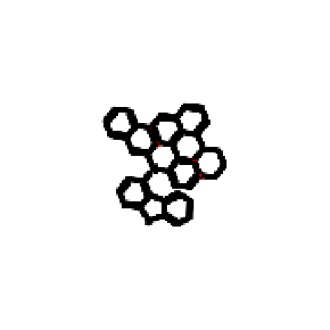 c1ccc(N(c2ccc3ccccc3c2)c2cccc3sc4ccccc4c23)c(-c2cccc3cccc(C4CCCCC4)c23)c1